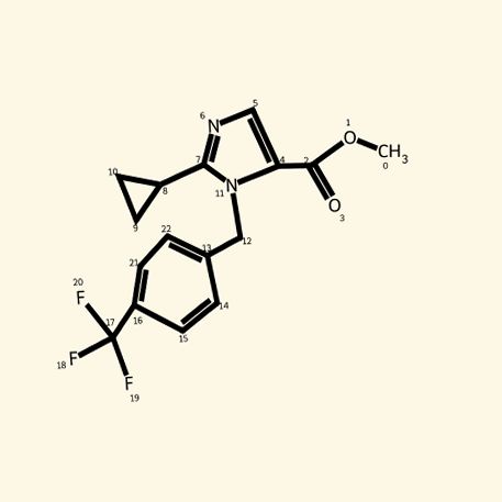 COC(=O)c1cnc(C2CC2)n1Cc1ccc(C(F)(F)F)cc1